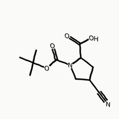 CC(C)(C)OC(=O)N1CC(C#N)CC1C(=O)O